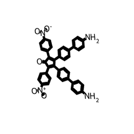 Nc1ccc(-c2ccc(C3=C(c4ccc([N+](=O)[O-])cc4)C(=O)C(c4ccc([N+](=O)[O-])cc4)=C3c3ccc(-c4ccc(N)cc4)cc3)cc2)cc1